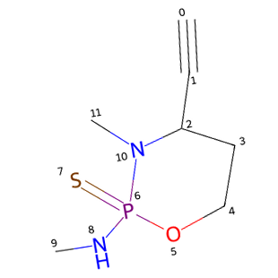 C#CC1CCOP(=S)(NC)N1C